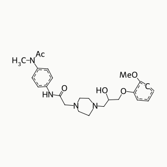 COc1ccccc1OCC(O)CN1CCN(CC(=O)Nc2ccc(N(C)C(C)=O)cc2)CC1